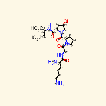 NCCCC[C@H](N)C(=O)NCC(=O)N1CCC[C@H]1C(=O)N1C[C@H](O)C[C@H]1C(=O)N[C@@H](CC(=O)O)C(=O)O